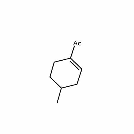 CC(=O)C1=CCC(C)CC1